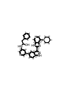 OC(Cc1ccccc1)Nc1cncc(-c2ccc3[nH]nc(-c4nc5c(N6CCCCC6)cncc5[nH]4)c3c2)c1